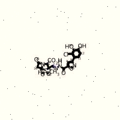 C[C@]1(/C=N/NC(=O)c2cc(-c3ccc(O)c(O)c3Cl)no2)[C@H](C(=O)O)N2C(=O)C[C@H]2S1(=O)=O